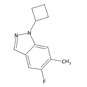 Cc1cc2c(cnn2C2CCC2)cc1F